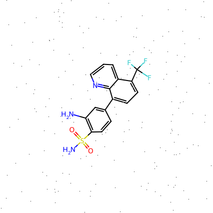 Nc1cc(-c2ccc(C(F)(F)F)c3cccnc23)ccc1S(N)(=O)=O